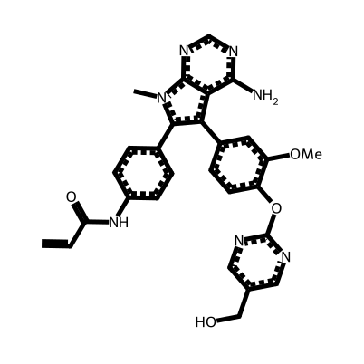 C=CC(=O)Nc1ccc(-c2c(-c3ccc(Oc4ncc(CO)cn4)c(OC)c3)c3c(N)ncnc3n2C)cc1